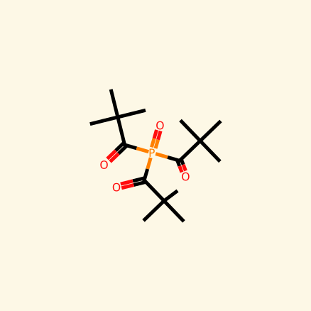 CC(C)(C)C(=O)P(=O)(C(=O)C(C)(C)C)C(=O)C(C)(C)C